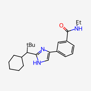 CCNC(=O)c1cccc(-c2c[nH]c(C(C3CCCCC3)C(C)(C)C)n2)c1